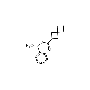 C[C@H](OC(=O)C1CC2(CCC2)C1)c1ccccc1